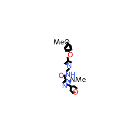 CNn1c(C(=O)NCCN2CC(COc3ccc(OC)cc3)C2)cnc1C1CCOCC1